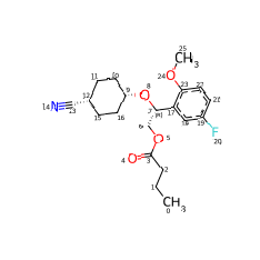 CCCC(=O)OC[C@H](O[C@H]1CC[C@@H](C#N)CC1)c1cc(F)ccc1OC